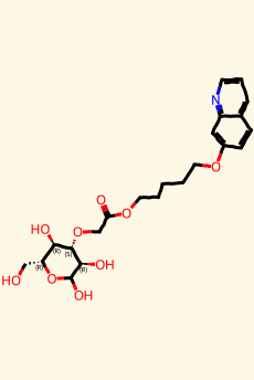 O=C(CO[C@H]1[C@H](O)[C@@H](CO)OC(O)[C@@H]1O)OCCCCCOc1ccc2cccnc2c1